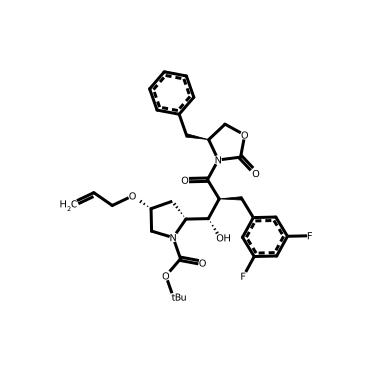 C=CCO[C@@H]1C[C@H]([C@@H](O)[C@H](Cc2cc(F)cc(F)c2)C(=O)N2C(=O)OC[C@@H]2Cc2ccccc2)N(C(=O)OC(C)(C)C)C1